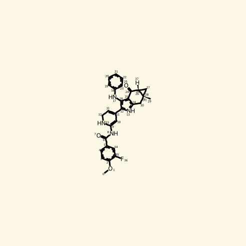 COc1ccc(C(=O)NC2=CC(c3[nH]c4c(c3Nc3ccccc3)C(=O)[C@@H]3C[C@]3(C)C4)=CCN2)cc1F